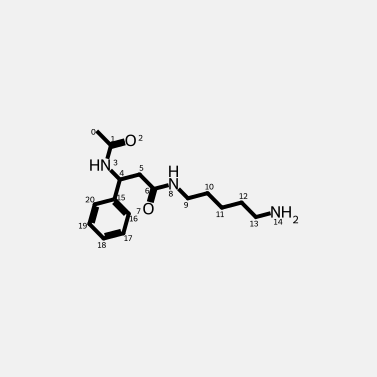 CC(=O)NC(CC(=O)NCCCCCN)c1ccccc1